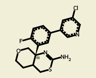 NC1=N[C@@]2(c3cc(-c4cncc(Cl)c4)ccc3F)COCCC2CS1